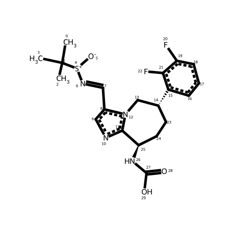 CC(C)(C)[S+]([O-])N=Cc1cnc2n1C[C@H](c1cccc(F)c1F)CC[C@H]2NC(=O)O